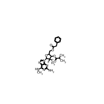 CNc1nc(N)nc2c1ncn2C1OC(COC(=O)Cc2ccccc2)C(OC(=O)C(C)C)C1(C)F